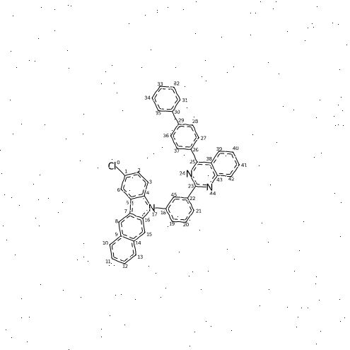 Clc1ccc2c(c1)c1cc3ccccc3cc1n2-c1cccc(-c2nc(-c3ccc(-c4ccccc4)cc3)c3ccccc3n2)c1